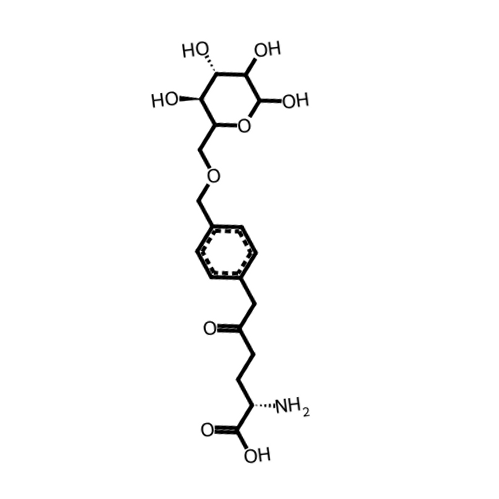 N[C@@H](CCC(=O)Cc1ccc(COCC2OC(O)C(O)[C@@H](O)[C@@H]2O)cc1)C(=O)O